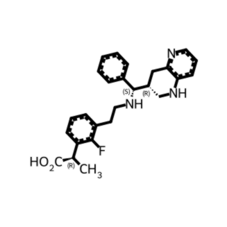 C[C@@H](C(=O)O)c1cccc(CCN[C@H](c2ccccc2)[C@H]2CNc3cccnc3C2)c1F